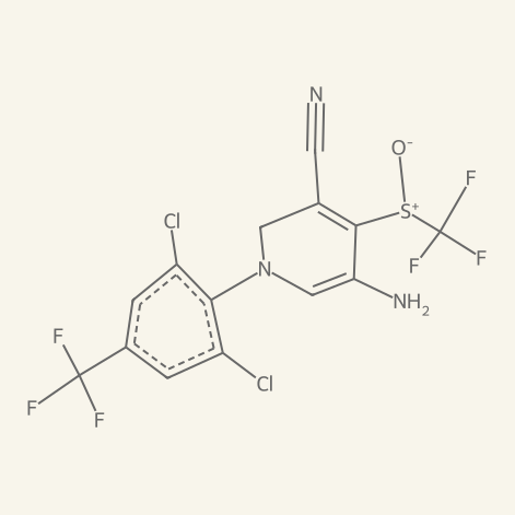 N#CC1=C([S+]([O-])C(F)(F)F)C(N)=CN(c2c(Cl)cc(C(F)(F)F)cc2Cl)C1